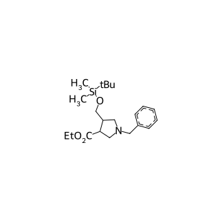 CCOC(=O)C1CN(Cc2ccccc2)CC1CO[Si](C)(C)C(C)(C)C